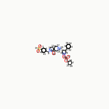 CS(=O)(=O)c1ccc(CN2CCC3(CCN(C[C@H]4CN(OC(=O)OC5CCCC5)C[C@@H]4c4ccccc4)CC3)C2=O)cc1